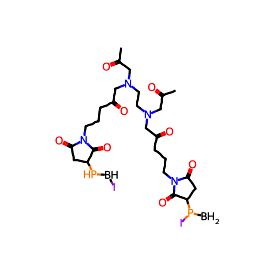 BP(I)C1CC(=O)N(CCCC(=O)CN(CCN(CC(C)=O)CC(=O)CCCN2C(=O)CC(PBI)C2=O)CC(C)=O)C1=O